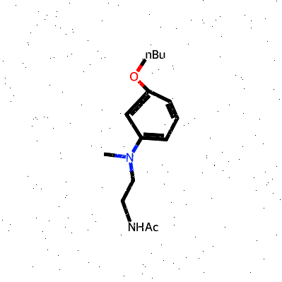 CCCCOc1cccc(N(C)CCNC(C)=O)c1